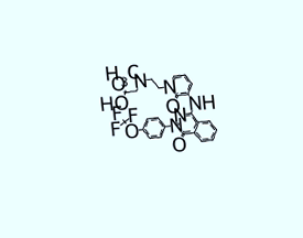 CN(CCn1cccc(Nc2nn(-c3ccc(OC(F)(F)F)cc3)c(=O)c3ccccc23)c1=O)CC(=O)O